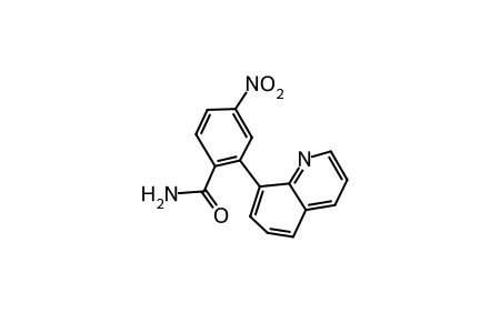 NC(=O)c1ccc([N+](=O)[O-])cc1-c1cccc2cccnc12